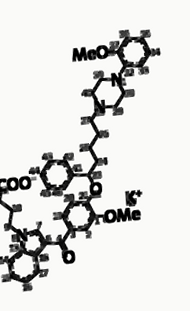 COc1cc(C(=O)c2cn(CCCC(=O)[O-])c3ccccc23)ccc1OC(CCCCN1CCN(c2ccccc2OC)CC1)c1ccccc1.[K+]